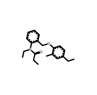 CCC(=O)N(CC)c1ccccc1COc1ccc(CC)cc1C